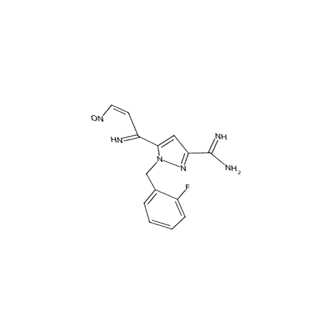 N=C(N)c1cc(C(=N)/C=C\N=O)n(Cc2ccccc2F)n1